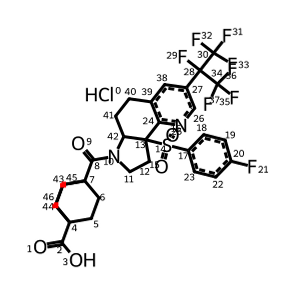 Cl.O=C(O)C12CCC(C(=O)N3CCC4(S(=O)(=O)c5ccc(F)cc5)c5ncc(C(F)(C(F)(F)F)C(F)(F)F)cc5CCC34)(CC1)CC2